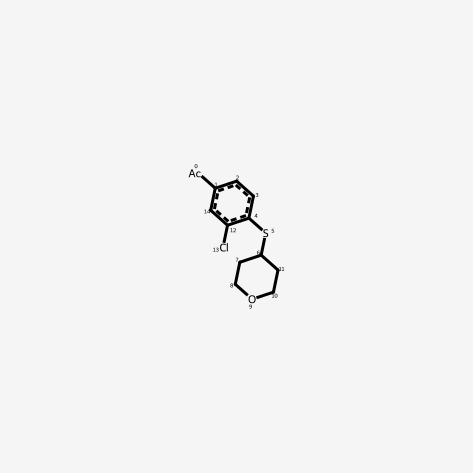 CC(=O)c1ccc(SC2CCOCC2)c(Cl)c1